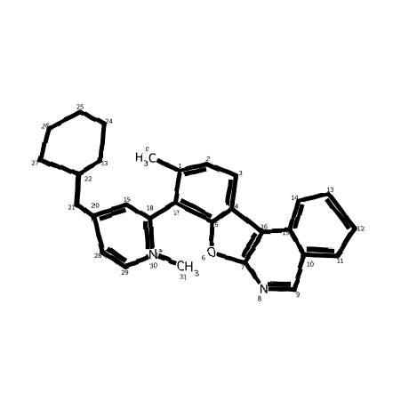 Cc1ccc2c(oc3ncc4ccccc4c32)c1-c1cc(CC2CCCCC2)cc[n+]1C